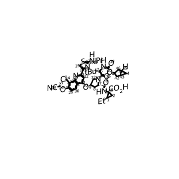 CC[C@@H]1CC1(NC(=O)[C@@H]1C[C@H](Oc2cc(-c3csc(NC(C)C)n3)nc3c(Cl)c(OCC#N)ccc23)CN1C(=O)[C@H](NC(=O)OC1CC2C[C@H]2C1)C(C)(C)C)C(=O)O